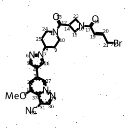 COc1cc(-c2cnn(C3CCN(C(=O)C4CN(C(=O)/C=C/CBr)C4)CC3)c2)cn2ncc(C#N)c12